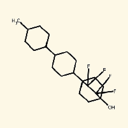 CC1CCC(C2CCC(C34CCC(O)(CC3)C(F)(F)C4(F)F)CC2)CC1